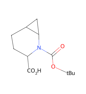 CC(C)(C)OC(=O)N1C(C(=O)O)CCC2CC21